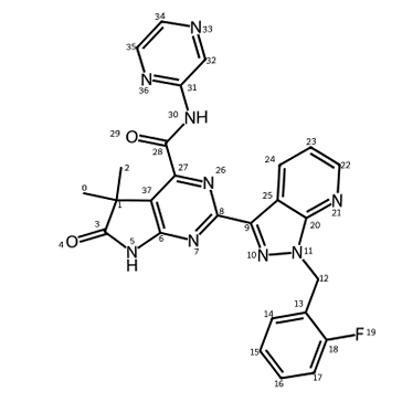 CC1(C)C(=O)Nc2nc(-c3nn(Cc4ccccc4F)c4ncccc34)nc(C(=O)Nc3cnccn3)c21